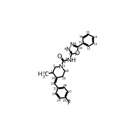 CC1CN(C(=O)Nc2nnc(-c3ccccc3)o2)CCC1=Cc1ccc(F)cc1